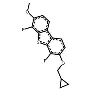 COc1ccc2c(sc3c(F)c(OCC4CC4)ccc32)c1F